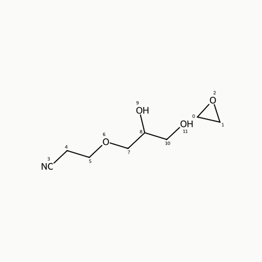 C1CO1.N#CCCOCC(O)CO